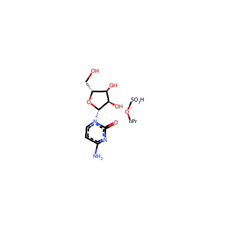 CCCOS(=O)(=O)O.Nc1ccn([C@@H]2O[C@H](CO)[C@@H](O)[C@H]2O)c(=O)n1